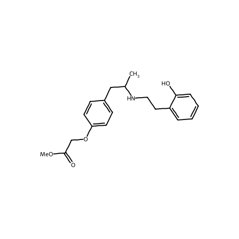 COC(=O)COc1ccc(CC(C)NCCc2ccccc2O)cc1